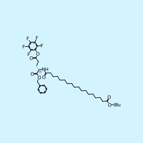 CC(C)(C)OC(=O)CCCCCCCCCCCCCCCCC(=O)N[C@@H](CCC(=O)Oc1c(F)c(F)c(F)c(F)c1F)C(=O)OCc1ccccc1